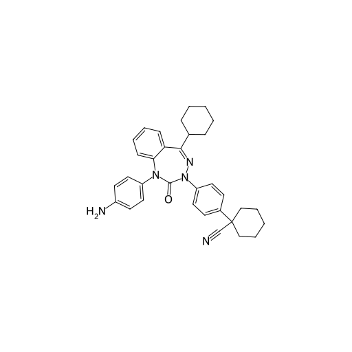 N#CC1(c2ccc(N3N=C(C4CCCCC4)c4ccccc4N(c4ccc(N)cc4)C3=O)cc2)CCCCC1